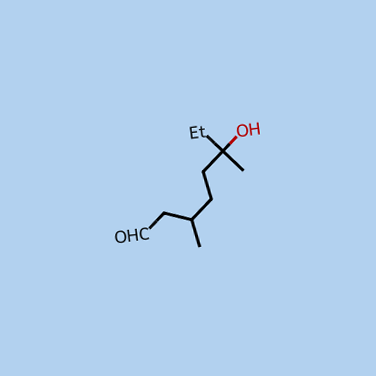 CCC(C)(O)CCC(C)CC=O